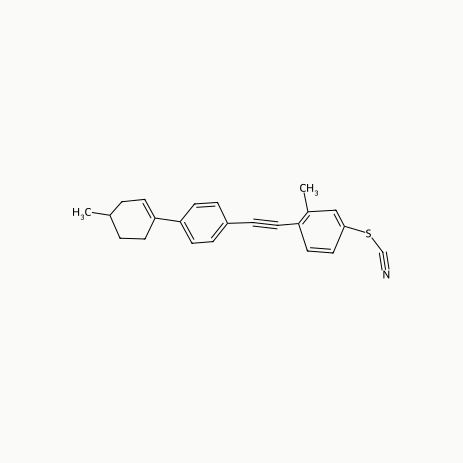 Cc1cc(SC#N)ccc1C#Cc1ccc(C2=CCC(C)CC2)cc1